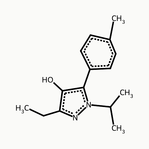 CCc1nn(C(C)C)c(-c2ccc(C)cc2)c1O